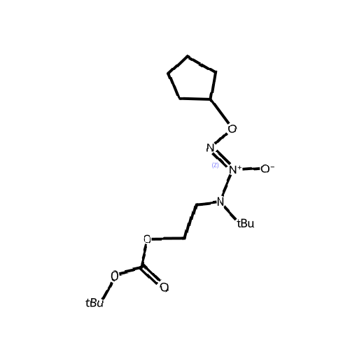 CC(C)(C)OC(=O)OCCN(/[N+]([O-])=N/OC1CCCC1)C(C)(C)C